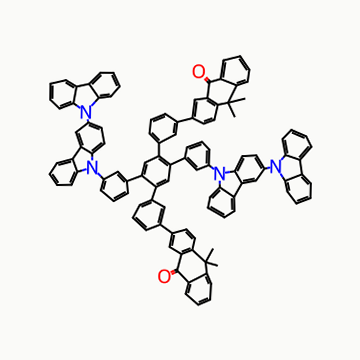 CC1(C)c2ccccc2C(=O)c2cc(-c3cccc(-c4cc(-c5cccc(-n6c7ccccc7c7cc(-n8c9ccccc9c9ccccc98)ccc76)c5)c(-c5cccc(-c6ccc7c(c6)C(=O)c6ccccc6C7(C)C)c5)cc4-c4cccc(-n5c6ccccc6c6cc(-n7c8ccccc8c8ccccc87)ccc65)c4)c3)ccc21